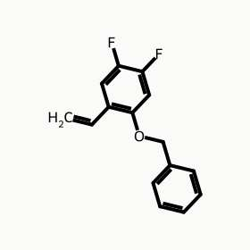 C=Cc1cc(F)c(F)cc1OCc1ccccc1